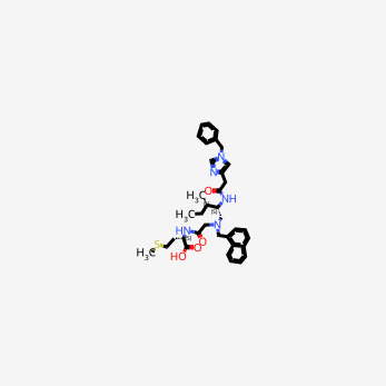 CC[C@H](C)[C@@H](CN(CC(=O)N[C@@H](CCSC)C(=O)O)Cc1cccc2ccccc12)NC(=O)Cc1cn(Cc2ccccc2)cn1